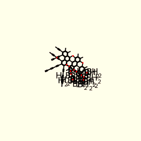 BBB(B)B(B(B)B)c1c(B(B(B)B)B(B)B)c(B(BB)B(B)B)c(C)c2c(-c3c4c(C)c(C)c(C)c(C)c4c(-c4c(C)c5c(C)c(C)c(C#CC)c(C#CC#C)c5c5c(C#CC#CC)c(C#CC#CC#C)c(C#CC#CC#CC)c(C#CC#CC#CC#C)c45)c4c(C)c(C)c(C)c(C)c34)c(C)c(C)c(B)c12